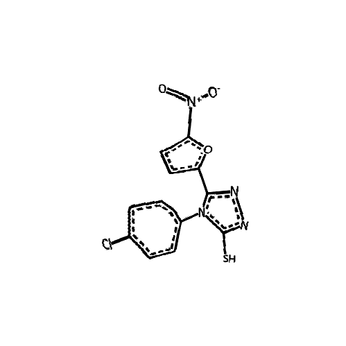 O=[N+]([O-])c1ccc(-c2nnc(S)n2-c2ccc(Cl)cc2)o1